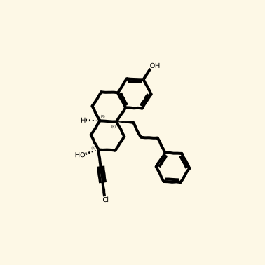 Oc1ccc2c(c1)CC[C@@H]1C[C@](O)(C#CCl)CC[C@@]21CCCc1ccccc1